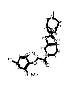 COc1cc(F)cc(C#N)c1OCC(=O)N1CCc2nc(N3C4CCC3CNC4)sc2C1